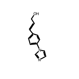 OC/C=C/c1ccc(-n2ccnc2)cc1